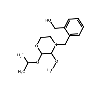 COC1C(OC(C)C)OCCN1Cc1ccccc1CO